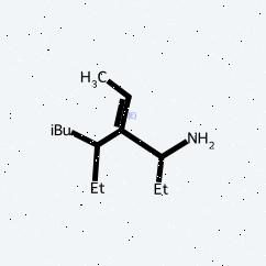 C/C=C(/C(N)CC)C(CC)C(C)CC